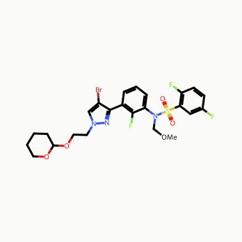 COCN(c1cccc(-c2nn(CCOC3CCCCO3)cc2Br)c1F)S(=O)(=O)c1cc(F)ccc1F